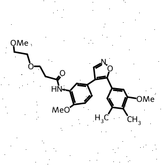 COCCOCCC(=O)Nc1cc(-c2cnoc2-c2cc(C)c(C)c(OC)c2)ccc1OC